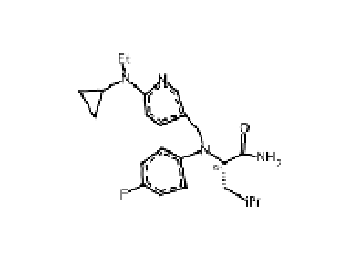 CCN(c1ccc(CN(c2ccc(F)cc2)[C@@H](CC(C)C)C(N)=O)cn1)C1CC1